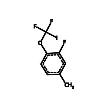 Cc1ccc(OC(F)(F)I)c(F)c1